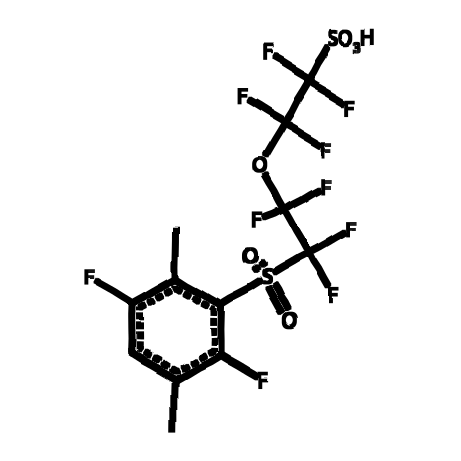 Cc1cc(F)c(C)c(S(=O)(=O)C(F)(F)C(F)(F)OC(F)(F)C(F)(F)S(=O)(=O)O)c1F